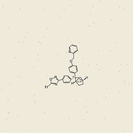 CCc1nc(-c2ccc([C@]3(c4ccc(OCc5ccccn5)cc4)C[C@@H]4CC[C@H]3C4)cc2)no1